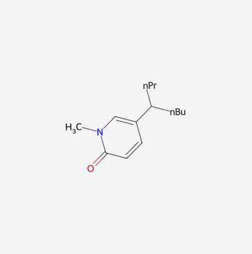 CCCCC(CCC)c1ccc(=O)n(C)c1